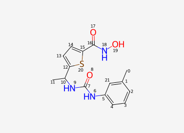 Cc1cccc(NC(=O)NC(C)c2ccc(C(=O)NO)s2)c1